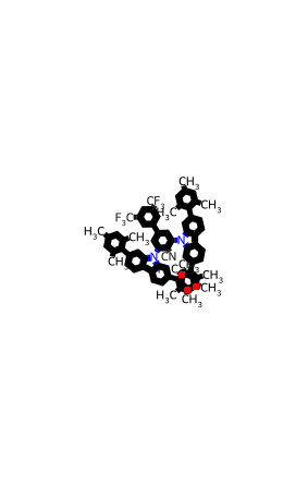 Cc1cc(C)c(-c2ccc3c4ccc(-c5c(C)cc(C)cc5C)cc4n(-c4cc(-c5cc(C(F)(F)F)cc(C(F)(F)F)c5)cc(-n5c6cc(-c7c(C)cc(C)cc7C)ccc6c6ccc(-c7c(C)cc(C)cc7C)cc65)c4C#N)c3c2)c(C)c1